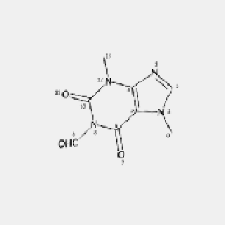 Cn1cnc2c1c(=O)n(C=O)c(=O)n2C